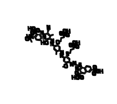 COc1cc(N=Nc2cc(OCCCS(=O)(=O)O)c(N=Nc3c(C)c(C#N)c4nc5c(S(=O)(=O)O)c(NC(C)=O)ccc5n4c3O)cc2C)c(SCCCS(=O)(=O)O)cc1N=Nc1nc2c(S(=O)(=O)O)cc3cc(S(=O)(=O)O)ccc3c2s1